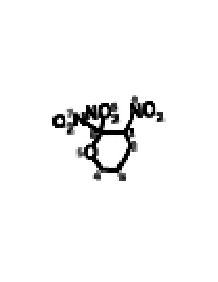 O=[N+]([O-])C1CCCOC1([N+](=O)[O-])[N+](=O)[O-]